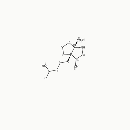 CC(O)CCC[C@@]12CCC[C@]1(C(=O)O)NCC2O